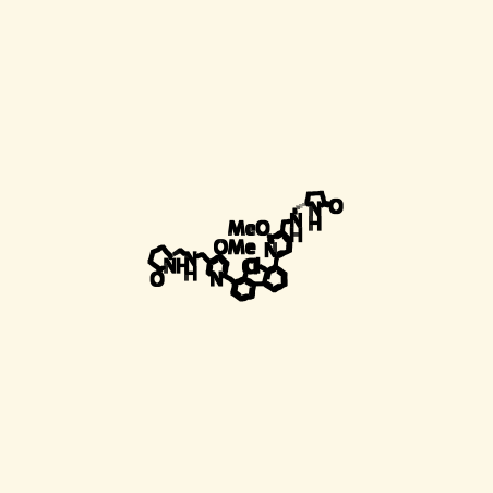 COc1cc(-c2cccc(-c3cccc(-c4ccc(CNC[C@@H]5CCC(=O)N5)c(OC)n4)c3Cl)c2Cl)ncc1CNC[C@@H]1CCCC(=O)N1